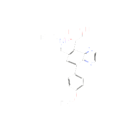 O=C(O)NCc1cc(-c2ccc(OC(F)(F)F)cc2)c2nccnc2c1[C@@H](O)CO